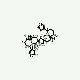 C[C@@H]1CCC(c2ccoc2)N2C[C@@]3(CC[C@@H]12)CS[C@@]1(CC[C@H]2[C@H](C)CCC(c4ccoc4)N2[C@@H]1O)C3